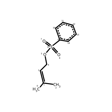 CC(C)=CCOS(=O)(=O)c1ccccc1